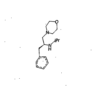 CC(C)N[C@@H](Cc1ccccc1)CN1CCOCC1